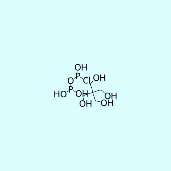 OCC(CO)(CO)CO.OP(O)OP(O)Cl